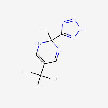 CC(C)(C)C1=CNC(C)(c2nn[nH]n2)N=C1